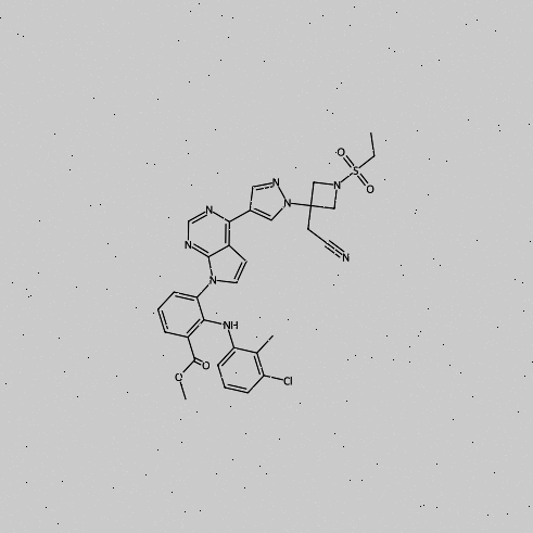 CCS(=O)(=O)N1CC(CC#N)(n2cc(-c3ncnc4c3ccn4-c3cccc(C(=O)OC)c3Nc3cccc(Cl)c3C)cn2)C1